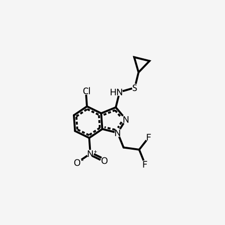 O=[N+]([O-])c1ccc(Cl)c2c(NSC3CC3)nn(CC(F)F)c12